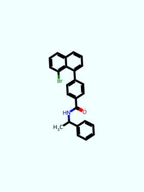 CC(NC(=O)c1ccc(-c2cccc3cccc(Br)c23)cc1)c1ccccc1